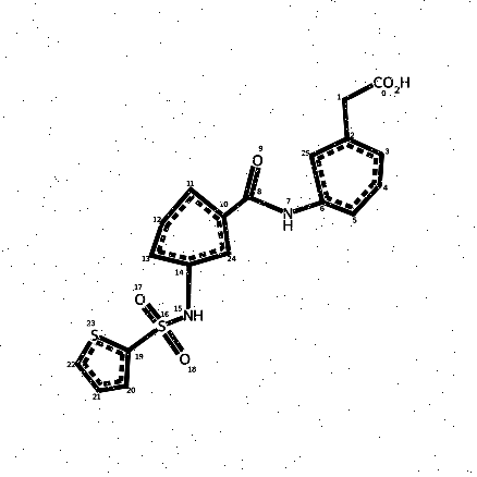 O=C(O)Cc1cccc(NC(=O)c2cccc(NS(=O)(=O)c3cccs3)c2)c1